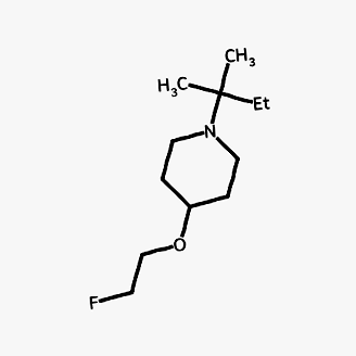 CCC(C)(C)N1CCC(OCCF)CC1